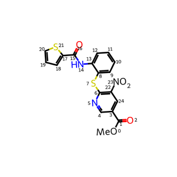 COC(=O)c1cnc(Sc2ccccc2NC(=O)c2cccs2)c([N+](=O)[O-])c1